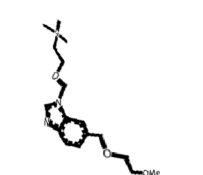 COCCOCc1ccc2ncn(COCC[Si](C)(C)C)c2c1